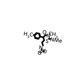 CNC(=S)N(C)C(=O)C(CCCN=S(=O)=O)c1ccc(C)cc1